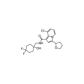 O=C(NCC1(O)CCC(F)(F)CC1)c1cc(C2CCCO2)n2cccc(Cl)c12